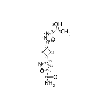 CC(O)c1nnc(C2CC(c3cc(C(N)=O)on3)C2)o1